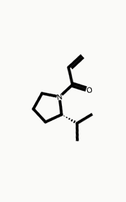 C=CC(=O)N1CCC[C@H]1C(C)C